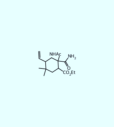 C=CC1CC(NC(C)=O)(C(N)=O)C(C(=O)OCC)CC1(C)C